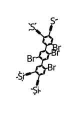 CSC#Cc1cc(Br)c(-c2cc(Br)c(-c3cc(C#C[Si](C)(C)C)c(C#C[Si](C)(C)C)cc3Br)cc2Br)cc1C#CS(C)(C)C